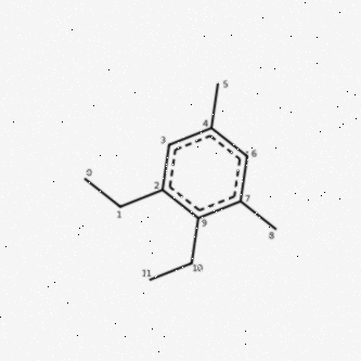 CCc1cc(C)[c]c(C)c1CC